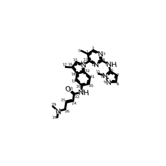 Cc1cnc(Nc2ccnn2C)nc1-n1cc(C)c2cc(NC(=O)/C=C/CN(C)C)ccc21